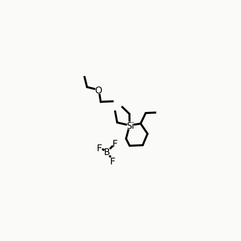 CCC1CCCC[Si]1(CC)CC.CCOCC.FB(F)F